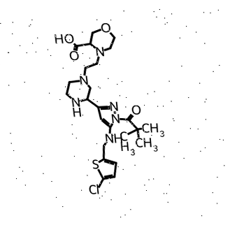 CC(C)(C)C(=O)n1nc(C2CN(CCN3CCOCC3C(=O)O)CCN2)cc1NCc1ccc(Cl)s1